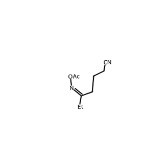 CCC(CCCC#N)=NOC(C)=O